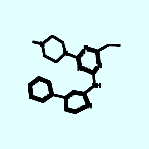 CCc1nc(Nc2cc(-c3ccccc3)ccn2)nc(N2CCN(C)CC2)n1